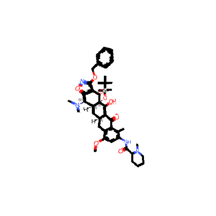 COc1cc(NC(=O)C2CCCCN2C)c(C)c2c1C[C@H]1C[C@H]3[C@H](N(C)C)c4onc(OCc5ccccc5)c4C(=O)[C@@]3(O[Si](C)(C)C(C)(C)C)C(O)=C1C2=O